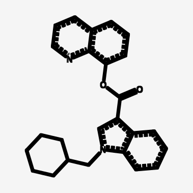 O=C(Oc1cccc2cccnc12)c1cn(CC2CCCCC2)c2ccccc12